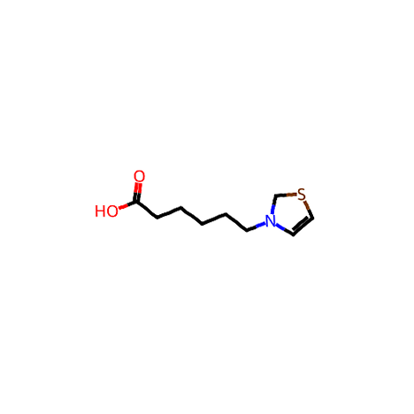 O=C(O)CCCCCN1C=CSC1